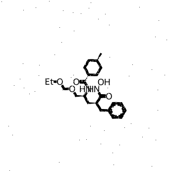 CCOCOC[C@H](C[C@H](Cc1ccccc1)C(=O)NO)NC(=O)[C@H]1CC[C@H](C)CC1